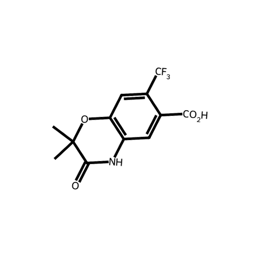 CC1(C)Oc2cc(C(F)(F)F)c(C(=O)O)cc2NC1=O